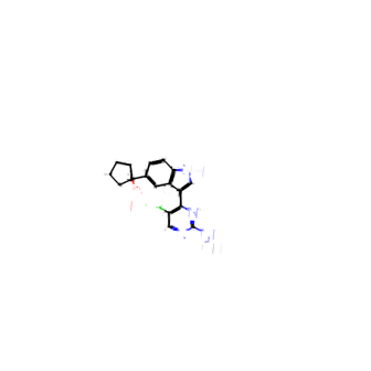 CNc1ncc(Cl)c(-c2c[nH]c3ccc(C4(O)CCCC4)cc23)n1